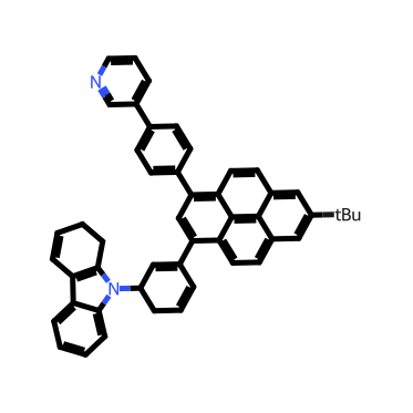 CC(C)(C)c1cc2ccc3c(C4=CC(n5c6c(c7ccccc75)C=CCC6)CC=C4)cc(-c4ccc(-c5cccnc5)cc4)c4ccc(c1)c2c34